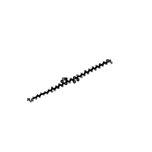 CCCCCCCCCCCCCCCCCC(=O)OC(=N)CCC(=O)OC(=O)CCCCCCCCCCCCCCCCC